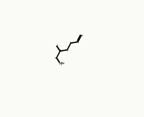 [CH]=CCCC(C)CCCCC